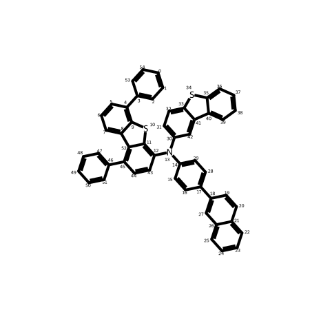 c1ccc(-c2cccc3c2sc2c(N(c4ccc(-c5ccc6ccccc6c5)cc4)c4ccc5sc6ccccc6c5c4)ccc(-c4ccccc4)c23)cc1